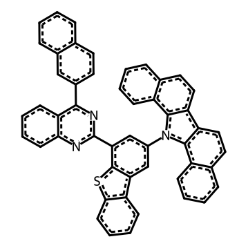 c1ccc2cc(-c3nc(-c4cc(-n5c6c7ccccc7ccc6c6ccc7ccccc7c65)cc5c4sc4ccccc45)nc4ccccc34)ccc2c1